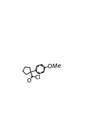 COc1ccc(C2(C(=O)Cl)CCCC2)cc1